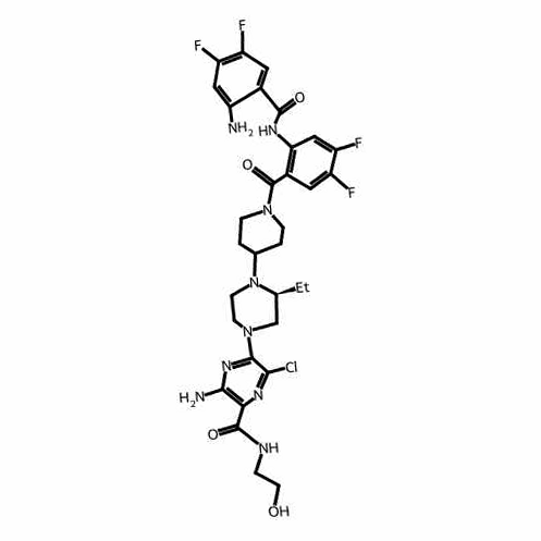 CC[C@H]1CN(c2nc(N)c(C(=O)NCCO)nc2Cl)CCN1C1CCN(C(=O)c2cc(F)c(F)cc2NC(=O)c2cc(F)c(F)cc2N)CC1